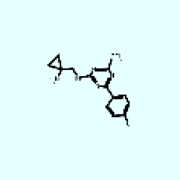 NC1(CNc2nc(-c3ccc(Cl)cc3)nc(C(Cl)(Cl)Cl)n2)CC1